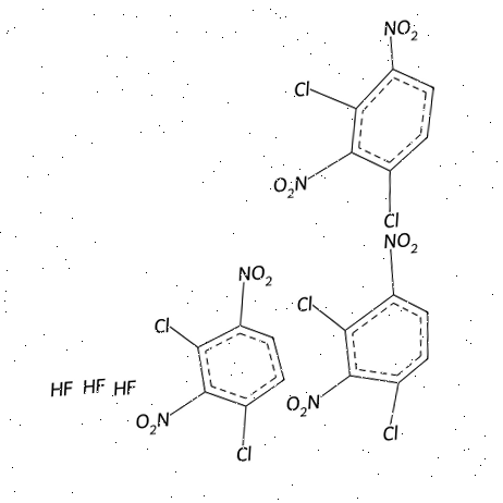 F.F.F.O=[N+]([O-])c1ccc(Cl)c([N+](=O)[O-])c1Cl.O=[N+]([O-])c1ccc(Cl)c([N+](=O)[O-])c1Cl.O=[N+]([O-])c1ccc(Cl)c([N+](=O)[O-])c1Cl